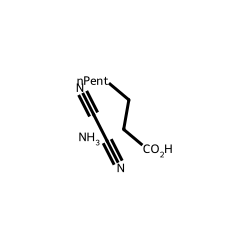 CCCCCCCC(=O)O.N.N#CC#N